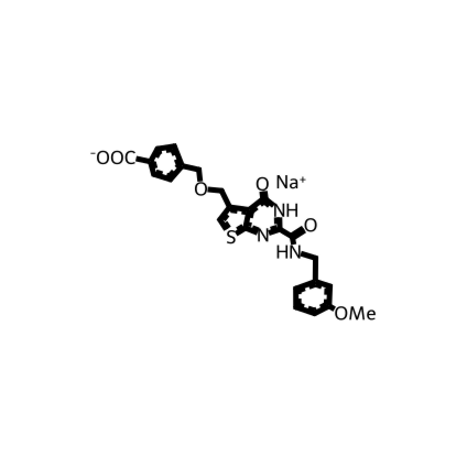 COc1cccc(CNC(=O)c2nc3scc(COCc4ccc(C(=O)[O-])cc4)c3c(=O)[nH]2)c1.[Na+]